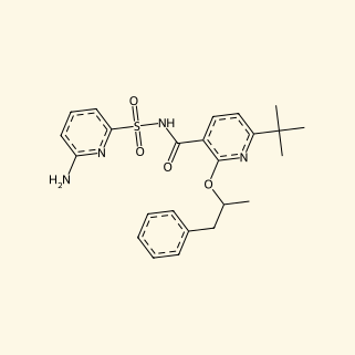 CC(Cc1ccccc1)Oc1nc(C(C)(C)C)ccc1C(=O)NS(=O)(=O)c1cccc(N)n1